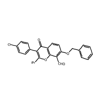 CC(C)c1oc2c(C=O)c(OCc3ccccc3)ccc2c(=O)c1-c1ccc(Cl)cc1